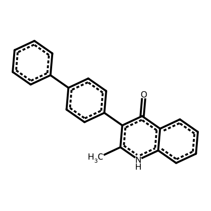 Cc1[nH]c2ccccc2c(=O)c1-c1ccc(-c2ccccc2)cc1